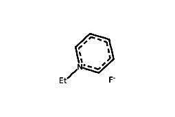 CC[n+]1ccccc1.[F-]